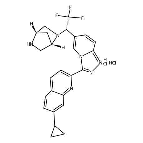 Cl.Cl.FC(F)(F)[C@H](c1ccc2nnc(-c3ccc4ccc(C5CC5)cc4n3)n2c1)N1C[C@@H]2C[C@H]1CN2